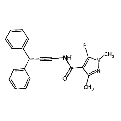 Cc1nn(C)c(F)c1C(=O)NC#CC(c1ccccc1)c1ccccc1